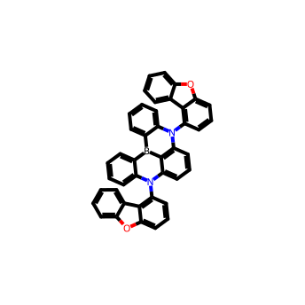 c1ccc2c(c1)B1c3ccccc3N(c3cccc4oc5ccccc5c34)c3cccc(c31)N2c1cccc2oc3ccccc3c12